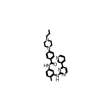 CCCN1CCN(c2ccc(C(=O)Nc3ccc(C)c(Nc4nccc(-c5cccnc5)n4)c3)cc2)CC1